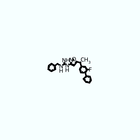 CC(c1ccc(-c2ccccc2)c(F)c1)c1cc(NC(=N)NCc2ccccc2)no1